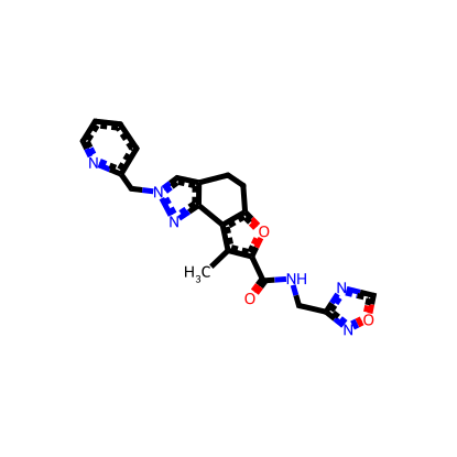 Cc1c(C(=O)NCc2ncon2)oc2c1-c1nn(Cc3ccccn3)cc1CC2